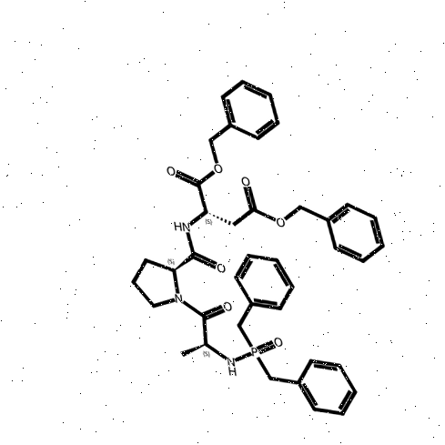 C[C@H](NP(=O)(Cc1ccccc1)Cc1ccccc1)C(=O)N1CCC[C@H]1C(=O)N[C@@H](CC(=O)OCc1ccccc1)C(=O)OCc1ccccc1